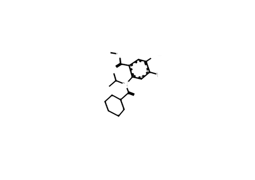 COC(=O)c1cc(O)c(F)cc1N(C(=O)C1CCCCC1)C(C)C